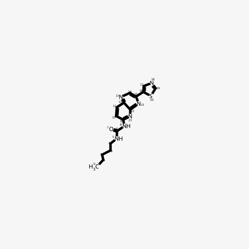 CCCCCNC(=O)Nc1ccc2ncc(-c3cncs3)nc2n1